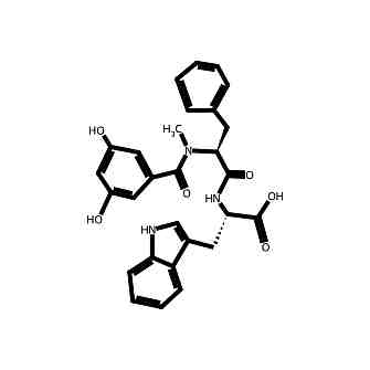 CN(C(=O)c1cc(O)cc(O)c1)[C@@H](Cc1ccccc1)C(=O)N[C@@H](Cc1c[nH]c2ccccc12)C(=O)O